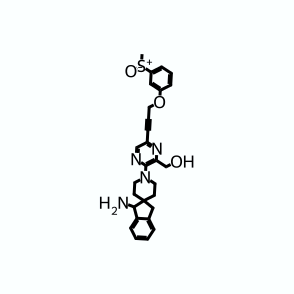 C[S+]([O-])c1cccc(OCC#Cc2cnc(N3CCC4(CC3)Cc3ccccc3C4N)c(CO)n2)c1